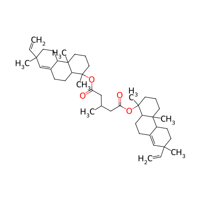 C=CC1(C)C=C2CCC3C(C)(OC(=O)CC(C)CC(=O)OC4(C)CCCC5(C)C6CCC(C)(C=C)C=C6CCC45)CCCC3(C)C2CC1